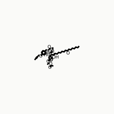 CC#CCOc1ccc(C[C@H](NC(=O)[C@@H](/C=C/CCCCCCC(=O)CCCCCCC)[C@@](O)(CC(=O)OC(C)OC(C)=O)C(=O)O)C(=O)OC)cc1